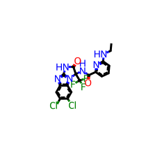 CCNc1cccc(C(=O)NC2(C(F)(F)F)C(=O)Nc3nc4cc(Cl)c(Cl)cc4n32)n1